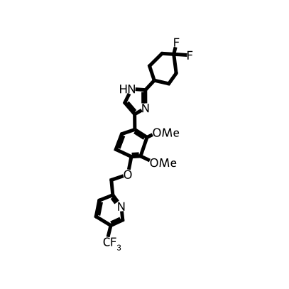 COc1c(OCc2ccc(C(F)(F)F)cn2)ccc(-c2c[nH]c(C3CCC(F)(F)CC3)n2)c1OC